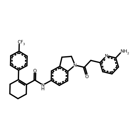 Nc1cccc(CC(=O)N2CCc3cc(NC(=O)C4=C(c5ccc(C(F)(F)F)cc5)CCCC4)ccc32)n1